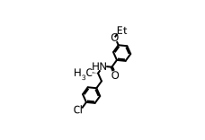 CCOc1cccc(C(=O)N[C@@H](C)Cc2ccc(Cl)cc2)c1